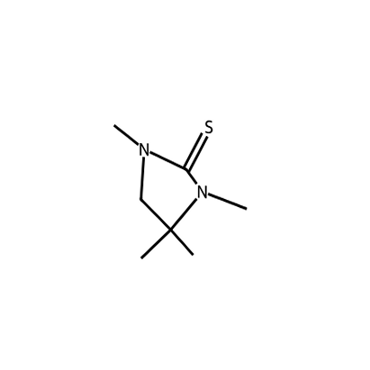 CN1CC(C)(C)N(C)C1=S